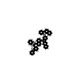 c1ccc2cc3c(cc2c1)c1ccc(-n2c4ccccc4c4ccc5ccccc5c42)cc1n3-c1cccc2c(-c3nc4ccccc4nc3-c3cccc4c3sc3ccccc34)cccc12